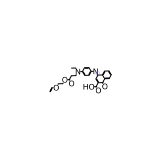 C=COCCOC(=O)CCN(CC)c1ccc(/N=C2\C=C(C(=O)O)C(=O)c3ccccc32)cc1